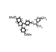 COc1ccc(C2=C(c3ccc(OCC(C)N4CCC(C)C4)cc3)c3ccc(OC)cc3C2)cc1